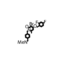 CNCc1ccc(Cn2c(C)cc(OCc3ccc(F)cc3F)c(Br)c2=O)cc1